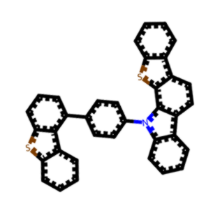 c1ccc2c(c1)sc1c2ccc2c3ccccc3n(-c3ccc(-c4cccc5sc6ccccc6c45)cc3)c21